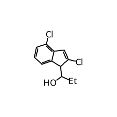 CCC(O)C1C(Cl)=Cc2c(Cl)cccc21